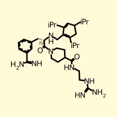 CC(C)C1=CC(C(C)C)CC(C(C)C)=C1CN[C@@H](Cc1cccc(C(=N)N)c1)C(=O)N1CCC(C(=O)NCCNC(=N)N)CC1